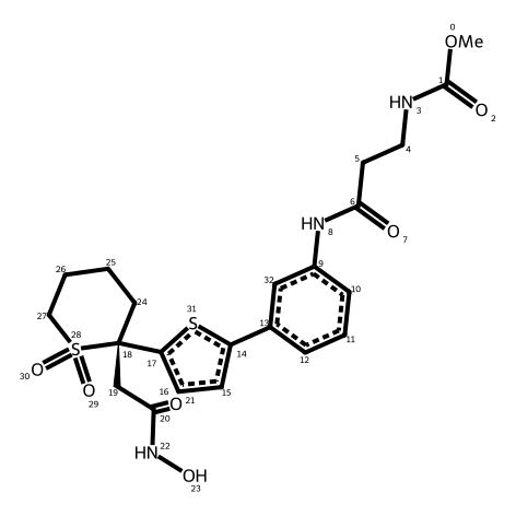 COC(=O)NCCC(=O)Nc1cccc(-c2ccc([C@@]3(CC(=O)NO)CCCCS3(=O)=O)s2)c1